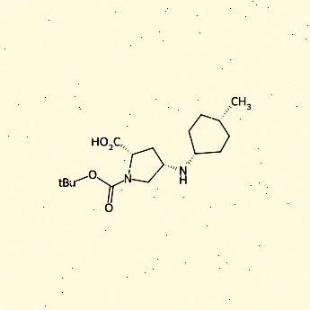 CC(C)(C)OC(=O)N1C[C@@H](N[C@H]2CC[C@@H](C)CC2)C[C@H]1C(=O)O